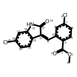 COC(=O)c1ccc(Cl)cc1/C=C1\C(=O)Nc2cc(Cl)ccc21